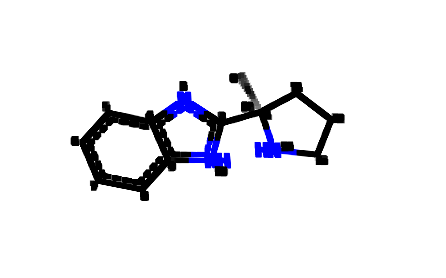 C[C@]1(c2nc3ccccc3[nH]2)CCCN1